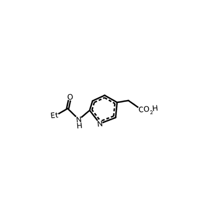 CCC(=O)Nc1ccc(CC(=O)O)cn1